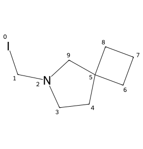 ICN1CCC2(CCC2)C1